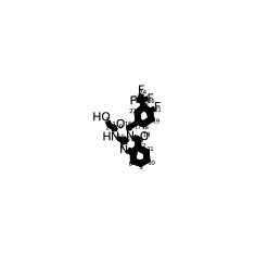 O=C(CO)Nc1nc2ccccc2c(=O)n1Cc1ccc(F)c(C(F)(F)F)c1